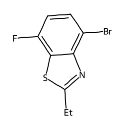 CCc1nc2c(Br)ccc(F)c2s1